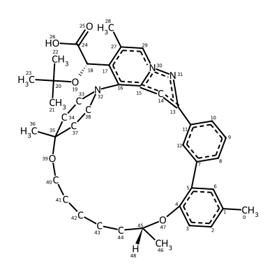 Cc1ccc2c(c1)-c1cccc(c1)-c1cc3c(c([C@H](OC(C)(C)C)C(=O)O)c(C)cn3n1)N1CCC(C)(CC1)OCCCCC[C@@H](C)O2